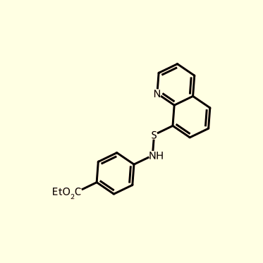 CCOC(=O)c1ccc(NSc2cccc3cccnc23)cc1